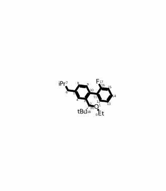 CCO[C@@H](c1cc(CC(C)C)ccc1-c1ccccc1F)C(C)(C)C